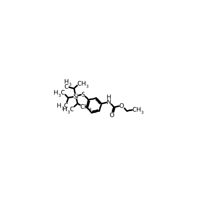 CCOC(=O)Nc1cccc(S[Si](C(C)C)(C(C)C)C(C)C)c1